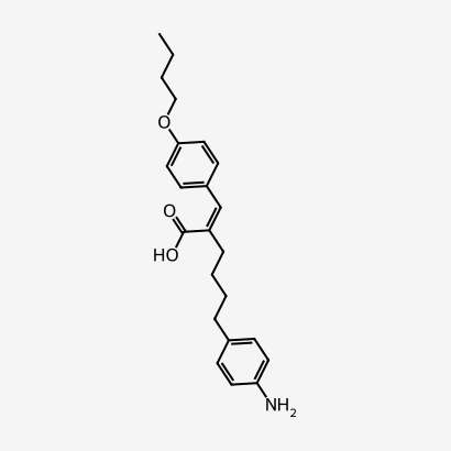 CCCCOc1ccc(C=C(CCCCc2ccc(N)cc2)C(=O)O)cc1